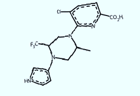 CC1CN(c2cc[nH]c2)C(C(F)(F)F)CN1c1nc(C(=O)O)ccc1Cl